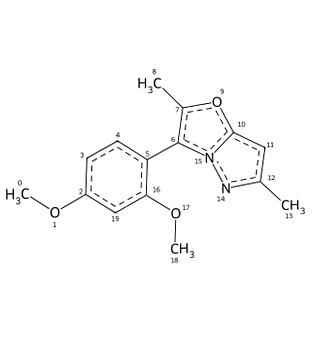 COc1ccc(-c2c(C)oc3cc(C)nn23)c(OC)c1